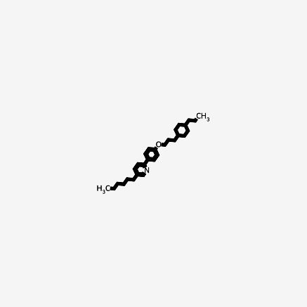 CCCCCCc1ccc(-c2ccc(OCCCC3CCC(CCC)CC3)cc2)nc1